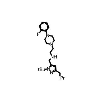 CC(C)Cc1cc(CNCCN2CCN(c3ccccc3F)CC2)n(C(C)(C)C)n1